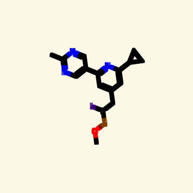 COSB(I)Cc1cc(-c2cnc(C)nc2)nc(C2CC2)c1